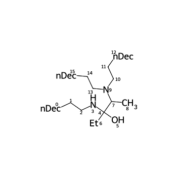 CCCCCCCCCCCCNC(O)(CC)C(C)N(CCCCCCCCCCCC)CCCCCCCCCCCC